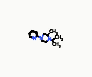 CC(C)N1CCN(c2ccccn2)C[C@H]1C